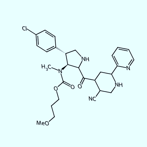 COCCCOC(=O)N(C)[C@@H]1C(C(=O)C2CC(c3ccccn3)NCC2C#N)NC[C@H]1c1ccc(Cl)cc1